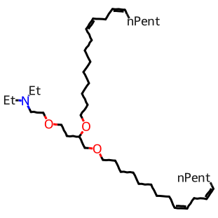 CCCCC/C=C\C/C=C\CCCCCCCCOCC(CCOCCN(CC)CC)OCCCCCCCC/C=C\C/C=C\CCCCC